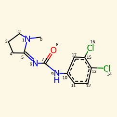 CN1CCCC1=NC(=O)Nc1ccc(Cl)c(Cl)c1